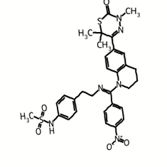 CN1N=C(c2ccc3c(c2)CCCN3C(=NCCc2ccc(NS(C)(=O)=O)cc2)c2ccc([N+](=O)[O-])cc2)C(C)(C)SC1=O